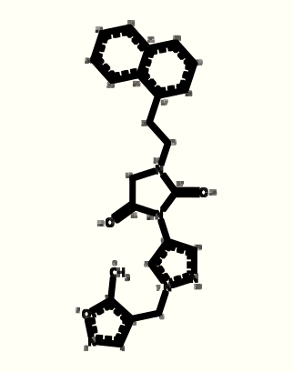 Cc1oncc1Cn1cc(N2C(=O)CN(CCc3cccc4ccccc34)C2=O)cn1